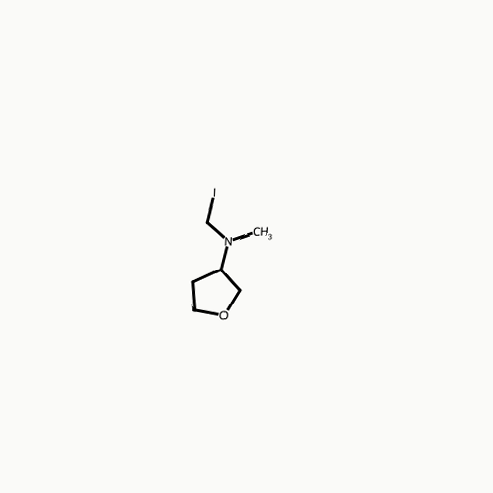 CN(CI)C1CCOC1